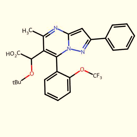 Cc1nc2cc(-c3ccccc3)nn2c(-c2ccccc2OC(F)(F)F)c1C(OC(C)(C)C)C(=O)O